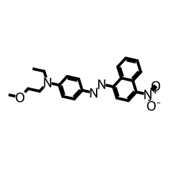 CCN(CCOC)c1ccc(N=Nc2ccc([N+](=O)[O-])c3ccccc23)cc1